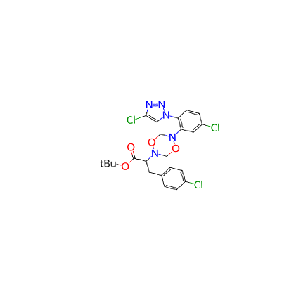 CC(C)(C)OC(=O)C(Cc1ccc(Cl)cc1)N1CON(c2cc(Cl)ccc2-n2cc(Cl)nn2)CO1